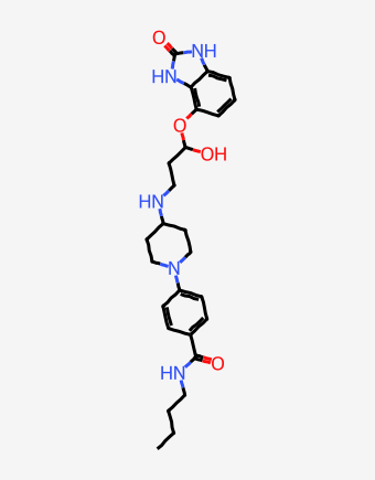 CCCCNC(=O)c1ccc(N2CCC(NCCC(O)Oc3cccc4[nH]c(=O)[nH]c34)CC2)cc1